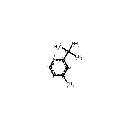 Cc1ccnc(C(C)(C)N)c1